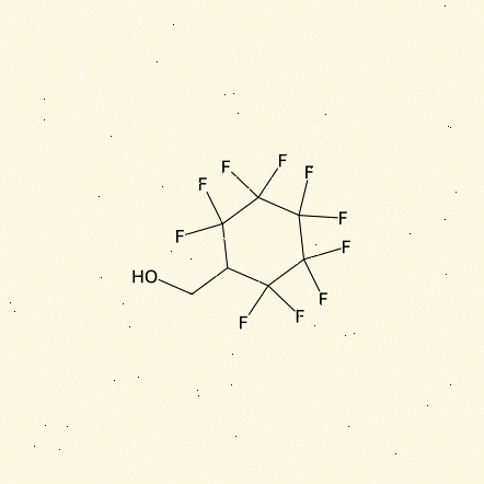 OCC1C(F)(F)C(F)(F)C(F)(F)C(F)(F)C1(F)F